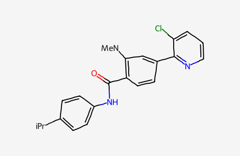 CNc1cc(-c2ncccc2Cl)ccc1C(=O)Nc1ccc(C(C)C)cc1